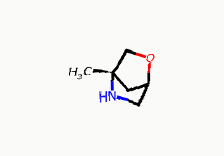 C[C@]12COC(CN1)C2